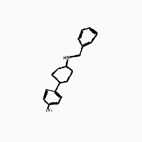 CC(C)(C)c1ccc(C2CCC(NCc3ccccc3)CC2)cc1